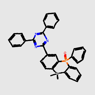 C[Si]1(C)c2ccccc2P(=O)(c2ccccc2)c2cc(-c3nc(-c4ccccc4)nc(-c4ccccc4)n3)ccc21